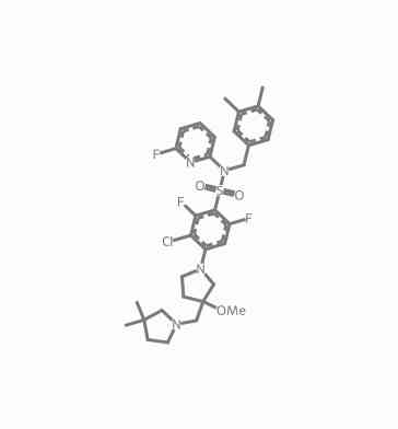 COC1(CN2CCC(C)(C)C2)CCN(c2cc(F)c(S(=O)(=O)N(Cc3ccc(C)c(C)c3)c3cccc(F)n3)c(F)c2Cl)C1